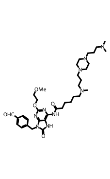 COCCOc1nc(NC(=O)CCCCCN(C)CCCN2CCN(CCCN(C)C)CC2)c2[nH]c(=O)n(Cc3ccc(C=O)cc3)c2n1